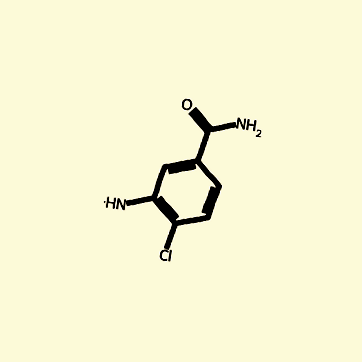 [NH]c1cc(C(N)=O)ccc1Cl